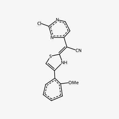 COc1ccccc1C1=CSC(=C(C#N)c2ccnc(Cl)n2)N1